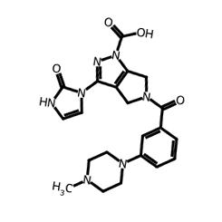 CN1CCN(c2cccc(C(=O)N3Cc4c(-n5cc[nH]c5=O)nn(C(=O)O)c4C3)c2)CC1